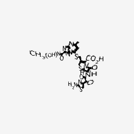 Cc1cc(SCC2=C(C(=O)O)N3C(=O)[C@@H](NC(=O)C(=O)c4csc(N)n4)[C@H]3SC2)n2nc(C(=O)N(C)O)nc2n1